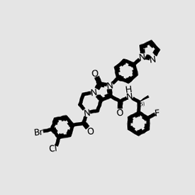 C[C@H](NC(=O)c1c2n(c(=O)n1-c1ccc(-n3cccn3)cc1)CCN(C(=O)c1ccc(Br)c(Cl)c1)C2)c1ccccc1F